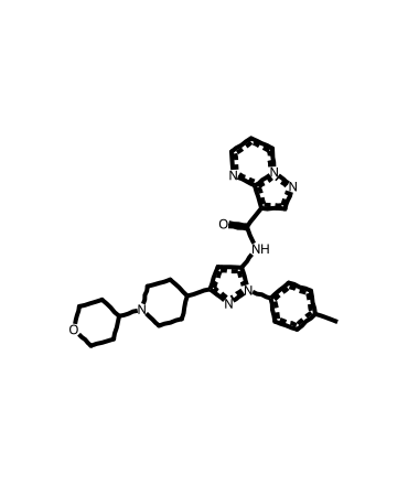 Cc1ccc(-n2nc(C3CCN(C4CCOCC4)CC3)cc2NC(=O)c2cnn3cccnc23)cc1